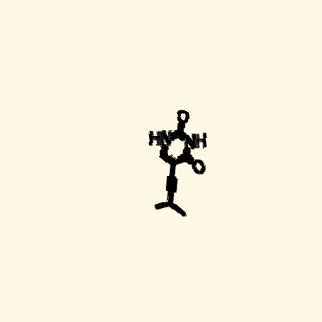 CC(C)C#Cc1c[nH]c(=O)[nH]c1=O